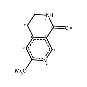 COc1cc2c(cn1)C(=O)NCC2